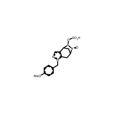 COc1ccc(Cn2ncc3c2CC2CC3N(OS(=O)(=O)O)[N+]2=O)cc1